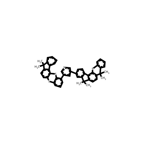 CC1(C)c2ccccc2Sc2c1ccc1c2-c2ccc(-c3cncc(-c4cccc5c4Sc4c(ccc6c4-c4ccccc4C6(C)C)S5)c3)cc2C1(C)C